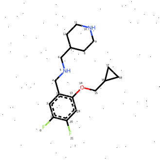 Fc1cc(CNCC2CCNCC2)c(OCC2CC2)cc1F